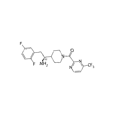 N[C@@H](Cc1cc(F)ccc1F)C1CCN(C(=O)c2nccc(C(F)(F)F)n2)CC1